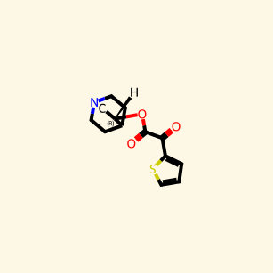 O=C(O[C@H]1CN2CCC1CC2)C(=O)c1cccs1